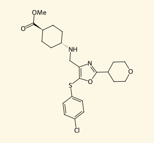 COC(=O)[C@H]1CC[C@H](NCc2nc(C3CCOCC3)oc2Sc2ccc(Cl)cc2)CC1